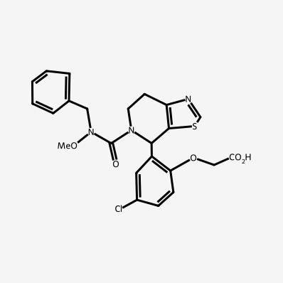 CON(Cc1ccccc1)C(=O)N1CCc2ncsc2C1c1cc(Cl)ccc1OCC(=O)O